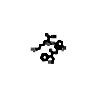 CN1[C@@H]2CC[C@H]1C[C@@H](OC(=O)C(CO)c1ccccc1)C2.NCCCCC(N)C(=O)O